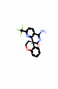 NC1=NC(=O)[C@@]2(CCOc3ccccc32)c2nc(C(F)(F)F)ccc21